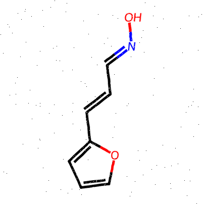 ON=CC=Cc1ccco1